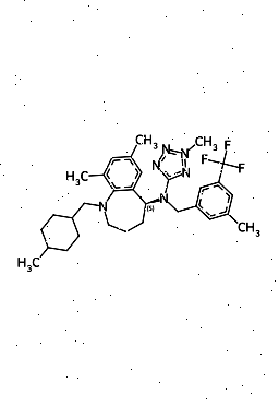 Cc1cc(CN(c2nnn(C)n2)[C@H]2CCCN(CC3CCC(C)CC3)c3c(C)cc(C)cc32)cc(C(F)(F)F)c1